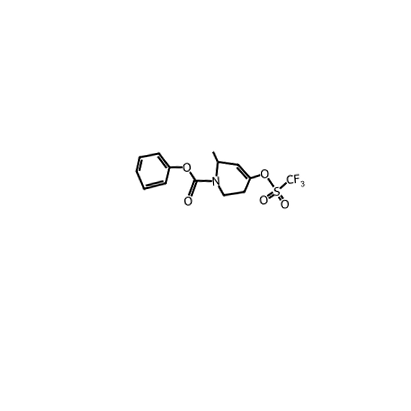 CC1C=C(OS(=O)(=O)C(F)(F)F)CCN1C(=O)Oc1ccccc1